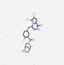 O=C(c1cc(Cc2c[nH]c(=O)c3cc(Cl)c(Cl)n23)ccc1F)N1CC2CNC(C2)C1